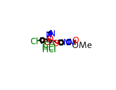 COC(=O)N1CCN(c2ccc(OC[C@@H]3CO[C@@](Cn4ccnc4)(c4ccc(Cl)cc4Cl)O3)cc2)CC1.Cl.Cl